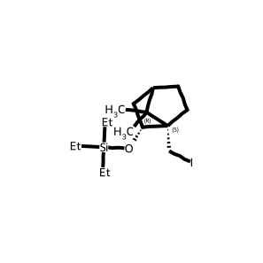 CC[Si](CC)(CC)O[C@@H]1CC2CC[C@]1(CI)C2(C)C